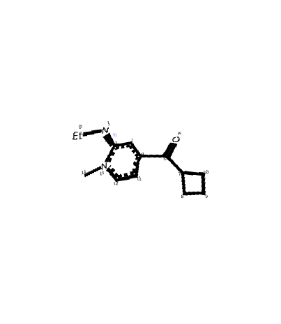 CC/N=c1/cc(C(=O)C2CCC2)ccn1C